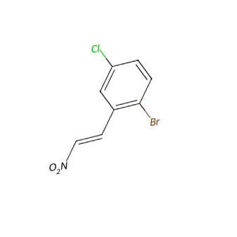 O=[N+]([O-])C=Cc1cc(Cl)ccc1Br